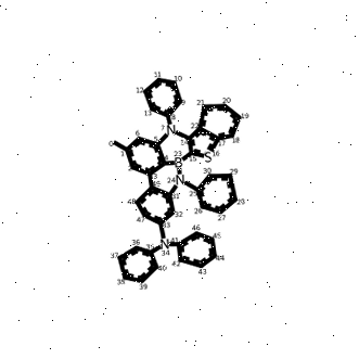 Cc1cc2c3c(c1)N(c1ccccc1)c1c(sc4ccccc14)B3N(c1ccccc1)c1cc(N(c3ccccc3)c3ccccc3)ccc1-2